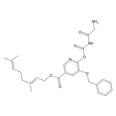 CC(C)=CCC/C(C)=C/COC(=O)c1cnc(OC(=O)NC(=O)CN)c(OCc2ccccc2)c1